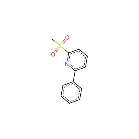 CS(=O)(=O)c1cccc(-c2ccccc2)n1